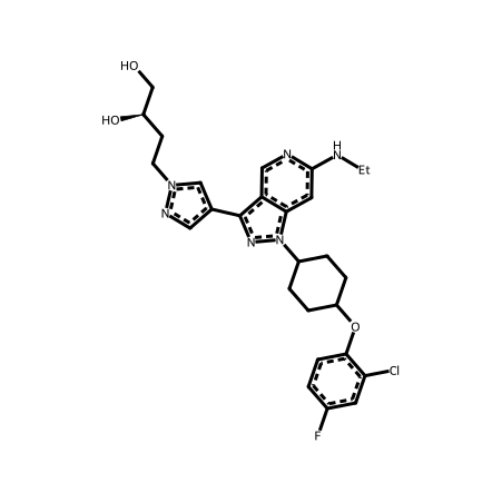 CCNc1cc2c(cn1)c(-c1cnn(CC[C@@H](O)CO)c1)nn2C1CCC(Oc2ccc(F)cc2Cl)CC1